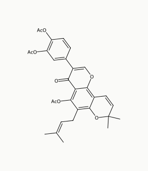 CC(=O)Oc1ccc(-c2coc3c4c(c(CC=C(C)C)c(OC(C)=O)c3c2=O)OC(C)(C)C=C4)cc1OC(C)=O